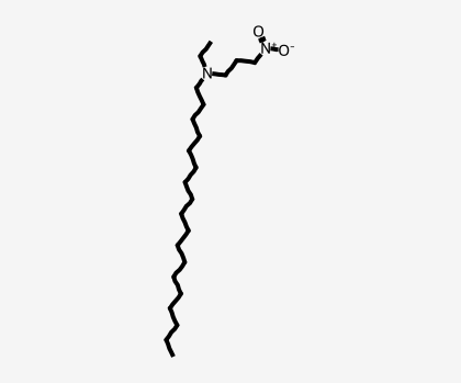 CCCCCCCCCCCCCCCCCCN(CC)CCC[N+](=O)[O-]